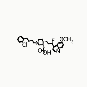 COc1ccc2nccc(C(F)CC[C@@H]3CCN(CCCCc4ccccc4Cl)C[C@@H]3CC(=O)O)c2c1